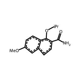 COc1ccc2c(OC(C)C)c(C(N)=O)ccc2c1